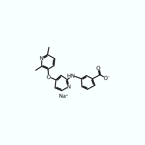 Cc1ccc(Oc2ccnc(Nc3cccc(C(=O)[O-])c3)c2)c(C)n1.[Na+]